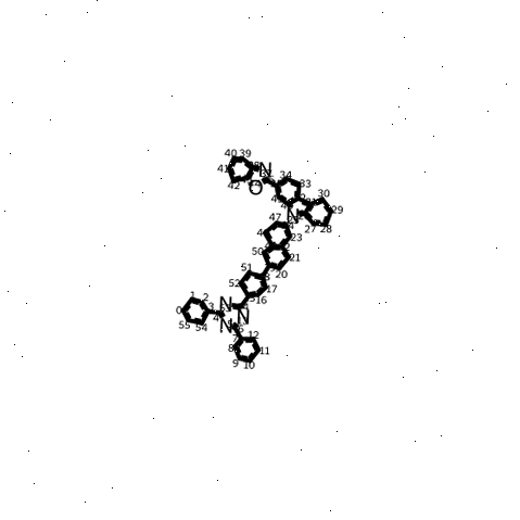 c1ccc(-c2nc(-c3ccccc3)nc(-c3ccc(-c4ccc5cc(-n6c7ccccc7c7ccc(-c8nc9ccccc9o8)cc76)ccc5c4)cc3)n2)cc1